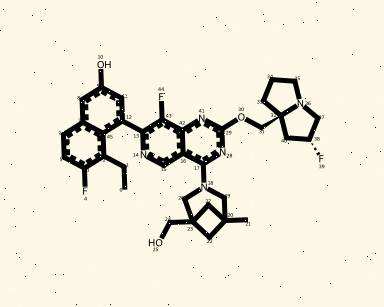 CCc1c(F)ccc2cc(O)cc(-c3ncc4c(N5CC6(C)CC(CO)(C5)C6)nc(OC[C@@]56CCCN5C[C@H](F)C6)nc4c3F)c12